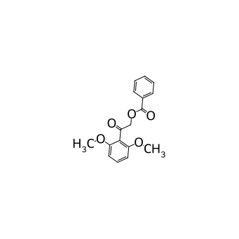 COc1cccc(OC)c1C(=O)COC(=O)c1ccccc1